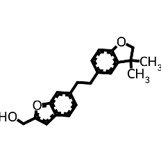 CC1(C)COc2ccc(CCc3ccc4cc(CO)oc4c3)cc21